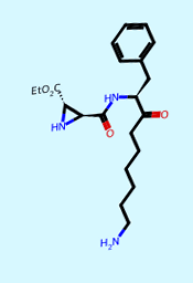 CCOC(=O)[C@H]1N[C@@H]1C(=O)N[C@@H](Cc1ccccc1)C(=O)CCCCCCN